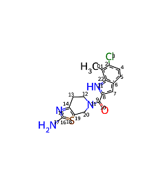 Cc1c(Cl)ccc2cc(C(=O)N3CCc4nc(N)sc4C3)[nH]c12